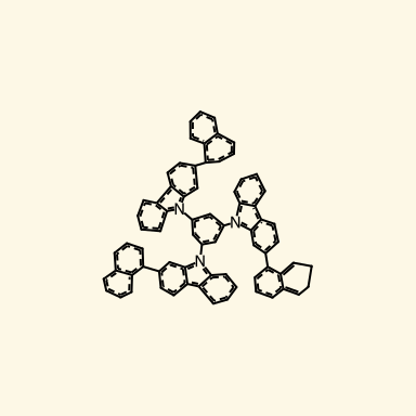 C1=c2cccc(-c3ccc4c5ccccc5n(-c5cc(-n6c7ccccc7c7ccc(-c8cccc9ccccc89)cc76)cc(-n6c7ccccc7c7ccc(-c8cccc9ccccc89)cc76)c5)c4c3)c2=CCC1